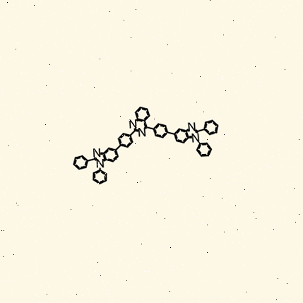 c1ccc(-c2nc3cc(-c4ccc(-c5nc(-c6ccc(-c7ccc8c(c7)nc(-c7ccccc7)n8-c7ccccc7)cc6)c6ccccc6n5)cc4)ccc3n2-c2ccccc2)cc1